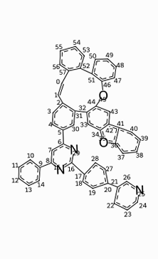 C1=C\c2ccc(-c3cc(-c4ccccc4)nc(-c4ccc(-c5cccnc5)cc4)n3)cc2-c2cc3oc4ccccc4c3cc2Oc2ccccc2-c2ccccc2/1